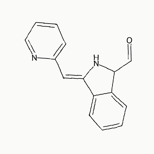 O=CC1NC(=Cc2ccccn2)c2ccccc21